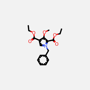 CCOC(=O)c1cn(Cc2ccccc2)c(C(=O)OCC)c1OC